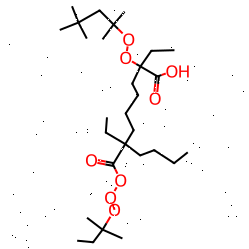 CCCCC(CC)(CCCCC(CC)(OOC(C)(C)CC(C)(C)C)C(=O)O)C(=O)OOOC(C)(C)CC